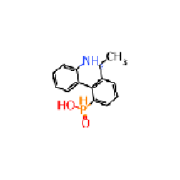 CCc1cccc([PH](=O)O)c1-c1ccccc1N